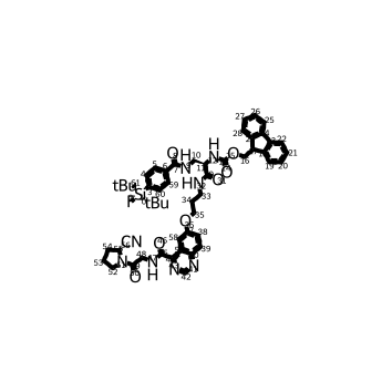 CC(C)(C)[Si](F)(c1ccc(C(=O)NC[C@@H](NC(=O)OCC2c3ccccc3-c3ccccc32)C(=O)NCCCOc2ccc3ncnc(C(=O)NCC(=O)N4CCC[C@H]4C#N)c3c2)cc1)C(C)(C)C